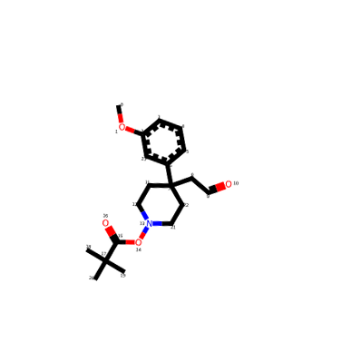 COc1cccc(C2(CC=O)CCN(OC(=O)C(C)(C)C)CC2)c1